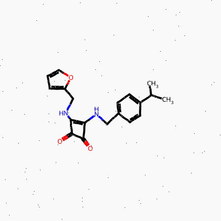 CC(C)c1ccc(CNc2c(NCc3ccco3)c(=O)c2=O)cc1